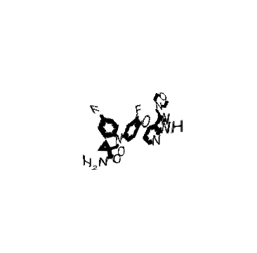 NC(=O)C1(C(=O)N(c2ccc(F)cc2)c2ccc(Oc3ccnc4[nH]nc(CN5CCOCC5)c34)c(F)c2)CC1